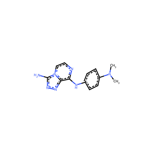 CN(C)c1ccc(Nc2nccn3c(N)nnc23)cc1